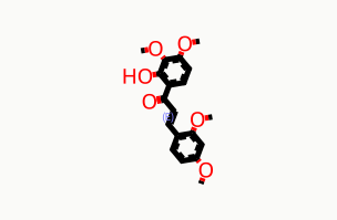 COc1ccc(/C=C/C(=O)c2ccc(OC)c(OC)c2O)c(OC)c1